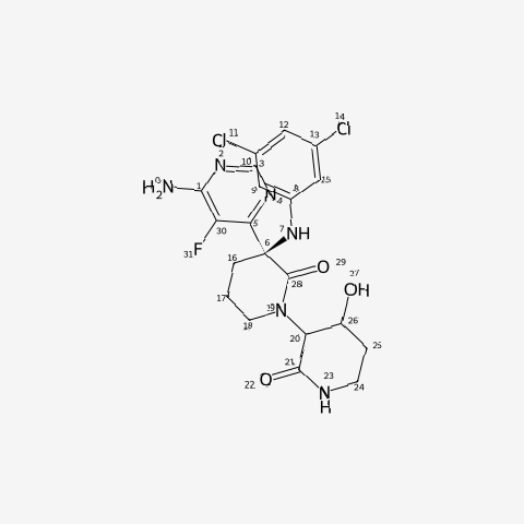 Nc1ncnc([C@@]2(Nc3cc(Cl)cc(Cl)c3)CCCN(C3C(=O)NCCC3O)C2=O)c1F